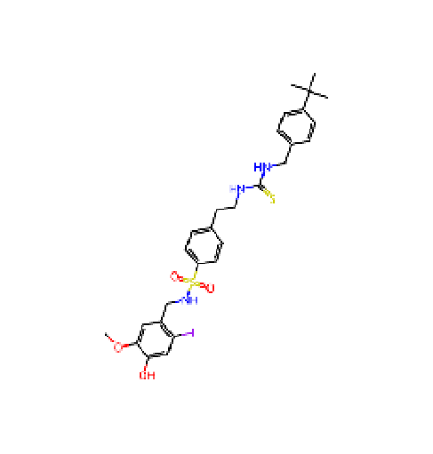 COc1cc(CNS(=O)(=O)c2ccc(CCNC(=S)NCc3ccc(C(C)(C)C)cc3)cc2)c(I)cc1O